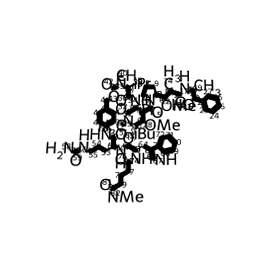 CC[C@H](C)[C@@H]([C@@H](CC(=O)N1CCC[C@H]1[C@H](OC)[C@@H](C)C(=O)N[C@H](C)[C@@H](O)c1ccccc1)OC)N(C)C(=O)[C@@H](NC(=O)[C@H](C(C)C)N(C)C(=O)OCc1ccc(NC(=O)[C@H](CCCNC(N)=O)NC(=O)[C@H](Cc2c[nH]c3ccccc23)NC(=O)CCCC(=O)NC)cc1)C(C)C